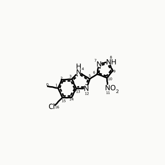 Cc1cc2[nH]c(-c3n[nH]cc3[N+](=O)[O-])nc2cc1Cl